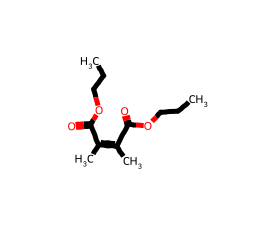 CCCOC(=O)C(C)=C(C)C(=O)OCCC